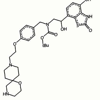 CC(C)(C)OC(=O)N(Cc1ccc(OCCN2CCC3(CC2)CNCCO3)cc1)CC(O)c1ccc(O)c2[nH]c(=O)sc12